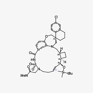 CNC(=O)CN1CC/C=C/[C@H](O[Si](C)(C)C(C)(C)C)[C@@H]2CC[C@H]2CN2C[C@@]3(CCCc4cc(Cl)ccc43)COc3ccc(cc32)C(=O)NS1(=O)=O